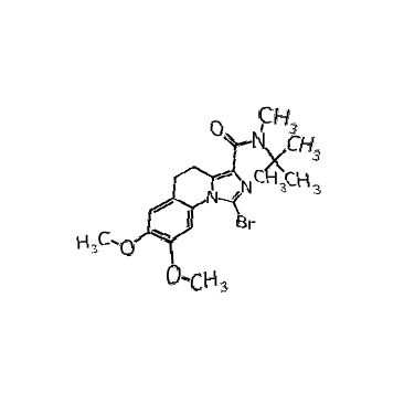 COc1cc2c(cc1OC)-n1c(Br)nc(C(=O)N(C)C(C)(C)C)c1CC2